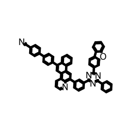 N#Cc1ccc(-c2ccc(-c3cc4c5cccnc5c(-c5cccc(-c6nc(-c7ccccc7)nc(-c7ccc8c(c7)oc7ccccc78)n6)c5)cc4c4ccccc34)cc2)cc1